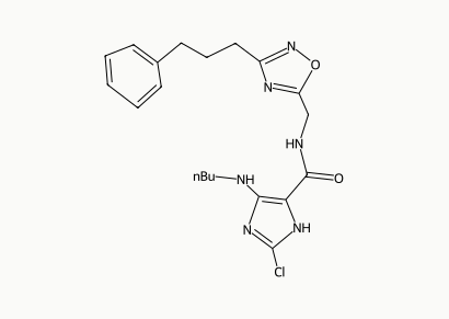 CCCCNc1nc(Cl)[nH]c1C(=O)NCc1nc(CCCc2ccccc2)no1